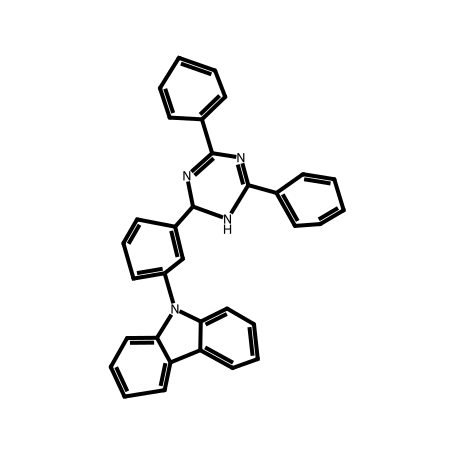 c1ccc(C2=NC(c3cccc(-n4c5ccccc5c5ccccc54)c3)NC(c3ccccc3)=N2)cc1